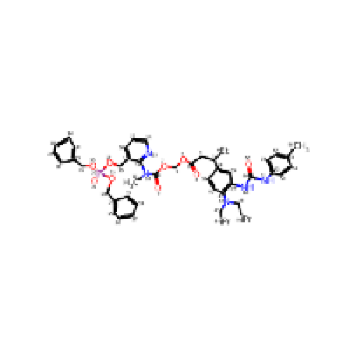 CCC(CC(=O)OCOC(=O)N(C)c1ncccc1COP(=O)(OCc1ccccc1)OCc1ccccc1)c1ccc(N(CC(C)C)CC(C)C)c(NC(=O)Nc2ccc(C)cc2)c1